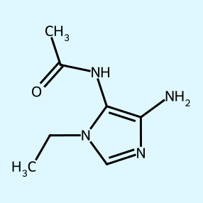 CCn1cnc(N)c1NC(C)=O